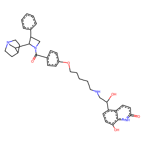 O=C(c1ccc(OCCCCCNCC(O)c2ccc(O)c3[nH]c(=O)ccc23)cc1)N1CC(c2ccccc2)C1C1CN2CCC1CC2